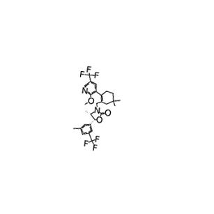 COc1ncc(C(F)(F)F)cc1C1=C(CN2C(=O)O[C@H](c3cc(C)cc(C(F)(F)F)c3)[C@@H]2C)CC(C)(C)CC1